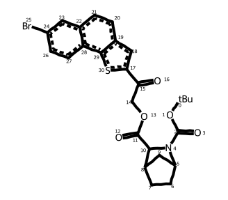 CC(C)(C)OC(=O)N1C2CCC(C2)C1C(=O)OCC(=O)c1cc2ccc3cc(Br)ccc3c2s1